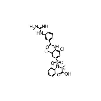 C[C@@H](C(=O)O)N(c1ccccc1)S(=O)(=O)c1cc(Cl)c(NC(=O)c2cccc(NC(=N)N)c2)c(Cl)c1